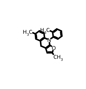 Cc1ccc2c(c1)Cc1cc(C)oc1N2c1ccccc1C